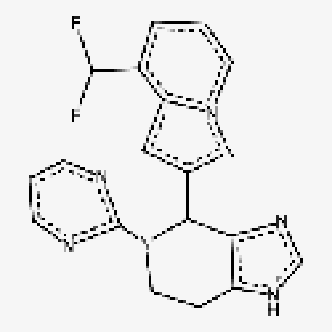 FC(F)c1cccn2nc(C3c4nc[nH]c4CCN3c3ncccn3)cc12